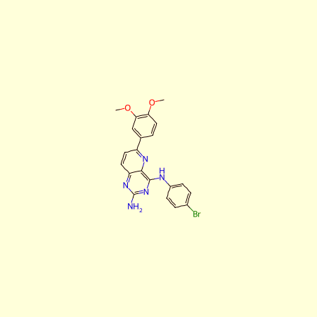 COc1ccc(-c2ccc3nc(N)nc(Nc4ccc(Br)cc4)c3n2)cc1OC